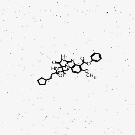 COc1ccc2c(nc3n2C(NC(=O)CCC2CCCC2)(C(F)(F)F)C(=O)N3)c1C(=O)Oc1ccccc1